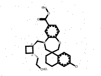 CC(C)(C)OC(=O)c1ccc2c(c1)N(C[C@@H]1CC[C@H]1CCC=O)CC1(CCCc3cc(Cl)ccc31)CO2